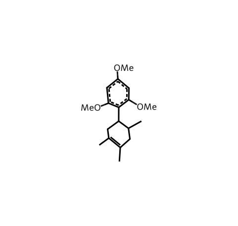 COc1cc(OC)c(C2CC(C)=C(C)CC2C)c(OC)c1